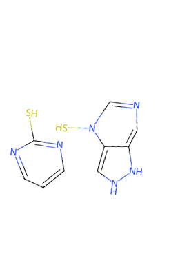 SN1C=NC=C2NNC=C21.Sc1ncccn1